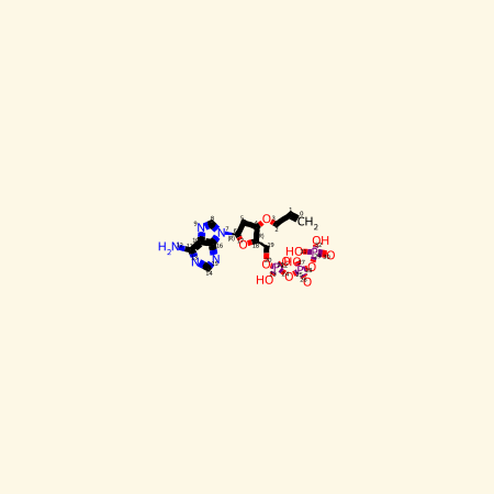 C=CCOC1C[C@H](n2cnc3c(N)ncnc32)O[C@@H]1COP(=O)(O)OP(=O)(O)OP(=O)(O)O